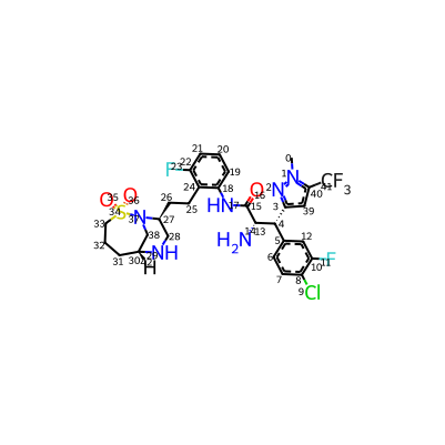 Cn1nc([C@H](c2ccc(Cl)c(F)c2)[C@H](N)C(=O)Nc2cccc(F)c2CC[C@H]2CN[C@@H]3CCCS(=O)(=O)N2C3)cc1C(F)(F)F